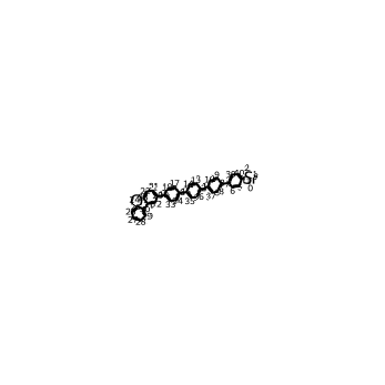 C[Si](C)(C)c1ccc(-c2ccc(-c3ccc(-c4ccc(-c5ccc6oc7ccccc7c6c5)cc4)cc3)cc2)cc1